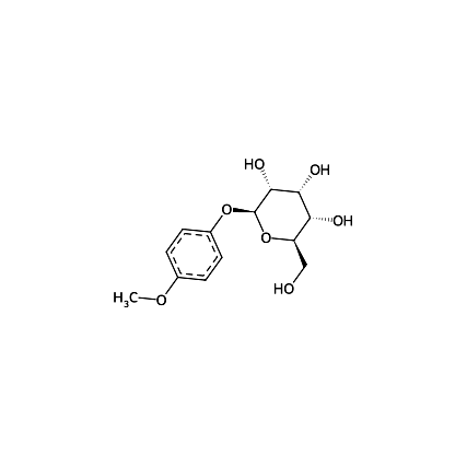 COc1ccc(O[C@@H]2O[C@H](CO)[C@@H](O)[C@@H](O)[C@H]2O)cc1